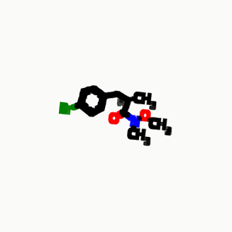 CON(C)C(=O)[C@@H](C)Cc1ccc(Br)cc1